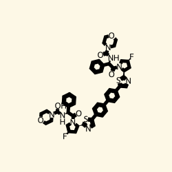 O=C(N[C@@H](C(=O)N1C[C@H](F)C[C@H]1c1ncc(-c2ccc(-c3ccc(-c4cnc([C@@H]5C[C@@H](F)CN5C(=O)[C@H](NC(O)N5CCOCC5)c5ccccc5)s4)cc3)cc2)s1)c1ccccc1)N1CCOCC1